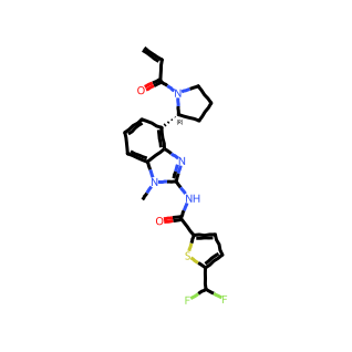 C=CC(=O)N1CCC[C@@H]1c1cccc2c1nc(NC(=O)c1ccc(C(F)F)s1)n2C